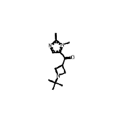 Cc1ncc(C(=O)C2CN(C(C)(C)C)C2)n1C